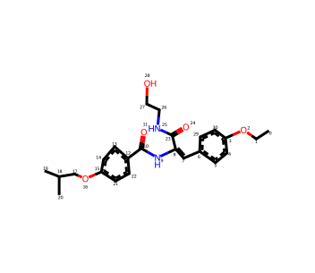 CCOc1ccc(/C=C(/NC(=O)c2ccc(OCC(C)C)cc2)C(=O)NCCO)cc1